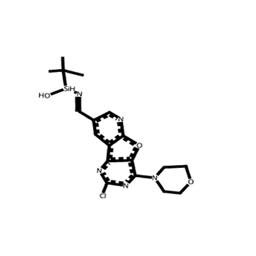 CC(C)(C)[SiH](O)/N=C/c1cnc2oc3c(N4CCOCC4)nc(Cl)nc3c2c1